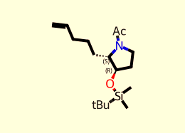 C=CCCC[C@H]1[C@H](O[Si](C)(C)C(C)(C)C)CCN1C(C)=O